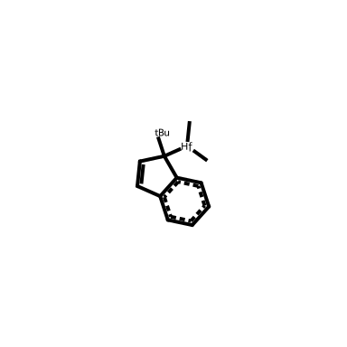 [CH3][Hf]([CH3])[C]1(C(C)(C)C)C=Cc2ccccc21